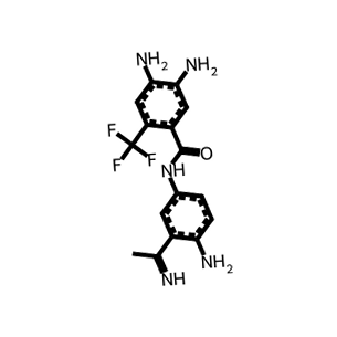 CC(=N)c1cc(NC(=O)c2cc(N)c(N)cc2C(F)(F)F)ccc1N